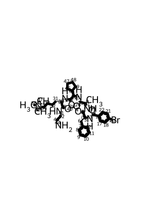 C[C@H](NC(=O)[C@H](Cc1ccccc1)NC(=O)c1ccc(Br)cc1)C(=O)NC(C(=O)N[C@@H](CCCC[N+](C)(C)C)C(=O)NCCN)C1CCCC1